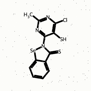 Cc1nc(Cl)c(S)c(-n2[se]c3ccccc3c2=S)n1